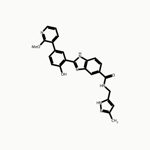 COc1ncccc1-c1ccc(O)c(-c2nc3cc(C(=O)NCc4cc(C)n[nH]4)ccc3[nH]2)c1